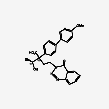 CC[C@H](O)[C@](CCn1nnc2ccccc2c1=O)(C(=O)O)c1ccc(-c2ccc(OC)nc2)cc1